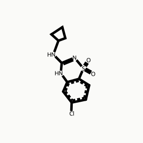 O=S1(=O)N=C(NC2CCC2)Nc2cc(Cl)ccc21